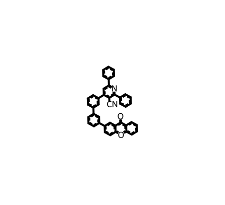 N#Cc1c(-c2cccc(-c3cccc(-c4ccc5oc6ccccc6c(=O)c5c4)c3)c2)cc(-c2ccccc2)nc1-c1ccccc1